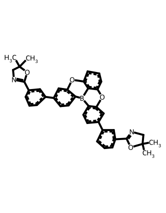 CC1(C)CN=C(c2cccc(-c3ccc4c(c3)Oc3cccc5c3B4c3ccc(-c4cccc(C6=NCC(C)(C)O6)c4)cc3O5)c2)O1